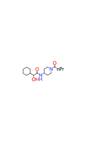 CCCC(=O)N1CCC(NC(=O)C(O)C2CCCCC2)CC1